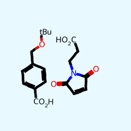 CC(C)(C)OCc1ccc(C(=O)O)cc1.O=C(O)CCN1C(=O)C=CC1=O